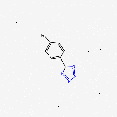 CC(C)c1ccc(C2N=NN=N2)cc1